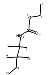 CCOC(=O)NC(C)(C)C(C)(C)CC